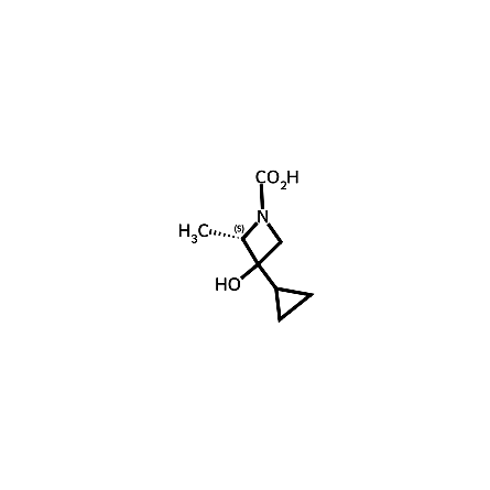 C[C@@H]1N(C(=O)O)CC1(O)C1CC1